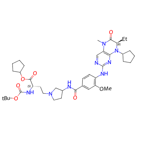 CC[C@@H]1C(=O)N(C)c2cnc(Nc3ccc(C(=O)NC4CCN(CC[C@H](NC(=O)OC(C)(C)C)C(=O)OC5CCCC5)C4)cc3OC)nc2N1C1CCCC1